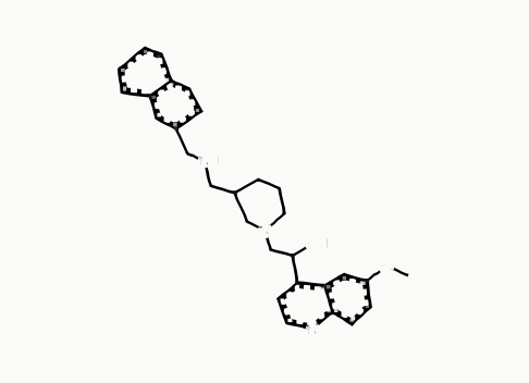 COc1ccc2nccc(C(O)CN3CCCC(CNCc4ccc5ccccc5c4)C3)c2c1